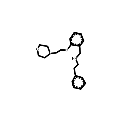 c1ccc(CCNCc2ccccc2OCCN2CCOCC2)cc1